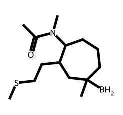 BC1(C)CCCC(N(C)C(C)=O)C(CCSC)C1